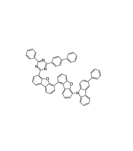 c1ccc(-c2ccc(-c3nc(-c4ccccc4)nc(-c4cccc5c4oc4c(-c6cccc7oc8c(-n9c%10ccccc%10c%10cc(-c%11ccccc%11)ccc%109)cccc8c67)cccc45)n3)cc2)cc1